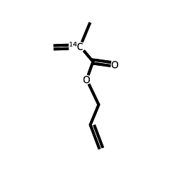 C=CCOC(=O)[14C](=C)C